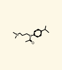 CC(=O)N(CCCN(C)C)c1ccc(C(C)C)cc1